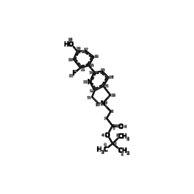 CC(C)(C)OC(=O)CCN1CCc2nc(-c3ccc(O)cc3F)ccc2C1